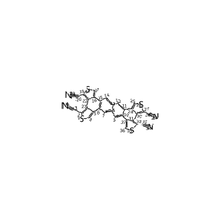 N#Cc1scc2c3cc4cc5c(cc4cc3c3csc(C#N)c3c12)c1csc(C#N)c1c1c(C#N)scc51